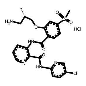 C[C@@H](CN)COc1cc(S(C)(=O)=O)ccc1C(=O)Nc1cccnc1C(=O)Nc1ccc(Cl)cn1.Cl